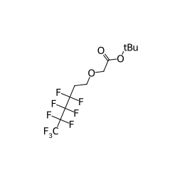 CC(C)(C)OC(=O)COCCC(F)(F)C(F)(F)C(F)(F)C(F)(F)F